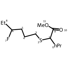 CCCC(SCCCC(F)CC)C(=O)OC